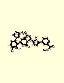 CNC(=O)c1cc(-c2cnc([C@@H]3C[C@H](C)c4cc(-c5c(-n6cnnn6)ccc(Cl)c5F)cc(=O)n43)[nH]2)ccn1